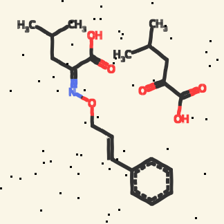 CC(C)CC(=NOCC=Cc1ccccc1)C(=O)O.CC(C)CC(=O)C(=O)O